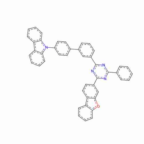 c1ccc(-c2nc(-c3cccc(-c4ccc(-n5c6ccccc6c6ccccc65)cc4)c3)nc(-c3ccc4c(c3)oc3ccccc34)n2)cc1